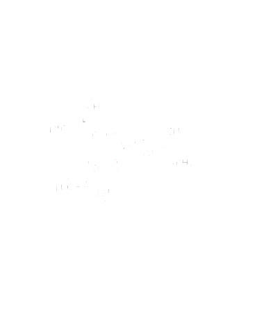 CC(C)O[O][V]([O]OC(C)C)[O]OC(C)C